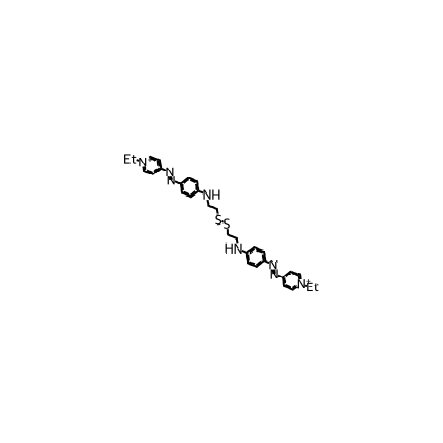 CC[n+]1ccc(N=Nc2ccc(NCCSSCCNc3ccc(N=Nc4cc[n+](CC)cc4)cc3)cc2)cc1